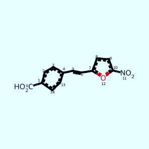 O=C(O)c1ccc(C=Cc2ccc([N+](=O)[O-])o2)cc1